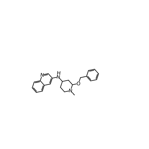 CN1CCC(Nc2cnc3ccccc3c2)CC1OCc1ccccc1